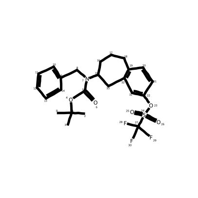 CC(C)(C)OC(=O)N(Cc1ccccc1)C1CCCc2ccc(OS(=O)(=O)C(F)(F)F)cc2C1